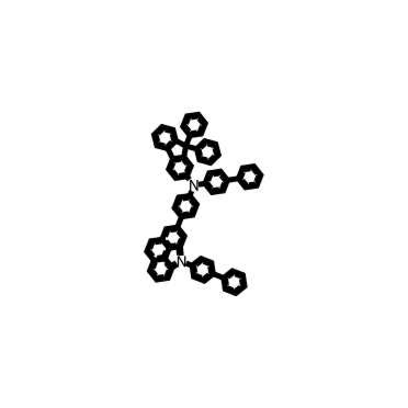 c1ccc(-c2ccc(N(c3ccc(-c4cc5ccc6cccc7c6c5c(c4)n7-c4ccc(-c5ccccc5)cc4)cc3)c3ccc4c(c3)C(c3ccccc3)(c3ccccc3)c3ccccc3-4)cc2)cc1